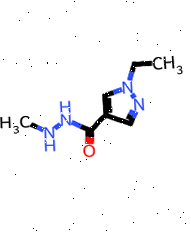 CCn1cc(C(=O)NNC)cn1